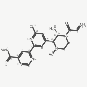 C=CC(=O)N1CCN(C(C)=O)[C@@H](c2cc(Cl)nc(-c3cc(C(=O)NC)ncn3)c2)[C@@H]1C